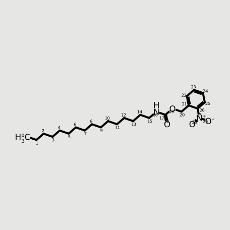 CCCCCCCCCCCCCCCCNC(=O)OCc1ccccc1[N+](=O)[O-]